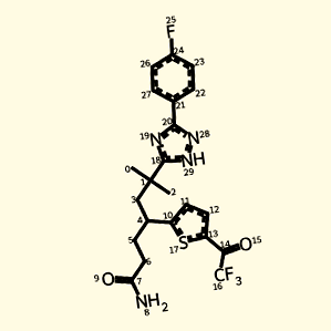 CC(C)(CC(CCC(N)=O)c1ccc(C(=O)C(F)(F)F)s1)c1nc(-c2ccc(F)cc2)n[nH]1